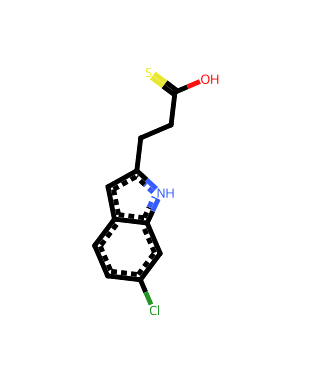 OC(=S)CCc1cc2ccc(Cl)cc2[nH]1